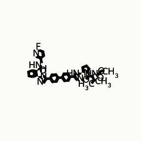 COC(=O)N[C@H](C(=O)N1CCC[C@H]1c1ncc(-c2ccc(-c3ccc(-c4cnc([C@@H]5C6CCC(C6)[C@H]5C(=O)NCc5ccc(F)nc5)[nH]4)cc3)cc2)[nH]1)C(C)C